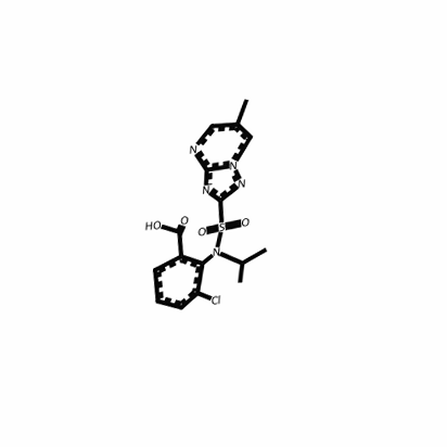 Cc1cnc2nc(S(=O)(=O)N(c3c(Cl)cccc3C(=O)O)C(C)C)nn2c1